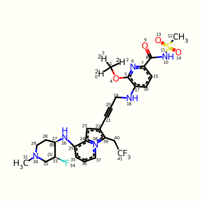 [2H]C([2H])([2H])Oc1nc(C(=O)NS(C)(=O)=O)ccc1NCC#Cc1cc2c(N[C@@H]3CCN(C)C[C@@H]3F)cccn2c1CC(F)(F)F